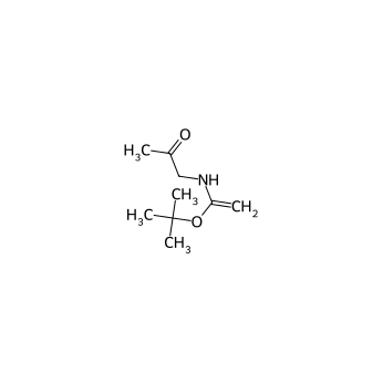 C=C(NCC(C)=O)OC(C)(C)C